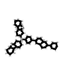 c1ccc(-c2ccc3cc(-c4ccc(N(c5ccc6c(c5)sc5ccccc56)c5ccc6c(c5)sc5ccccc56)cc4)ccc3c2)cc1